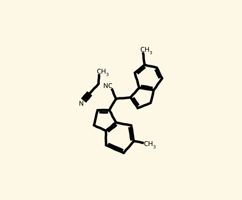 CCC#N.Cc1ccc2c(c1)C(C(C#N)C1=CCc3ccc(C)cc31)=CC2